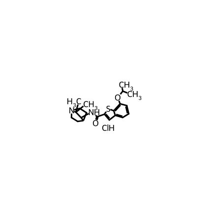 CC(C)Oc1cccc2cc(C(=O)NC3C4CCN(CC4)C3(C)C)sc12.Cl